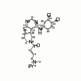 CC(C)N(C)C/C=C/C(=O)N1CCc2sc3ncnc(Nc4ccc(Cl)c(Cl)c4)c3c2C1